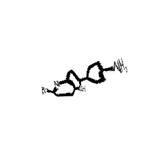 NC1=CC=C(c2cc3nc(Br)ccc3[nH]2)CC1